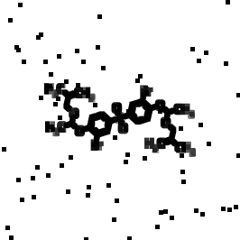 C=C(C)COC(C)Oc1ccc(S(=O)(=O)c2ccc(OC(C)OCC(=C)C)c(Br)c2)cc1Br